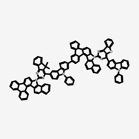 CC1(C)c2ccccc2-c2nc(-n3c4ccc5c6ccccc6c6ccccc6c5c4c4ccc5ccccc5c43)nc(-c3ccc4c(c3)c3ccc(-c5ccc6c(c5)c5ccccc5c5ccc7c(c8ccc9ccccc9c8n7-c7nc(-c8ccc9c(c8)c8ccccc8n9-c8ccccc8)c8oc9ccccc9c8n7)c56)cc3n4-c3ccccc3)c21